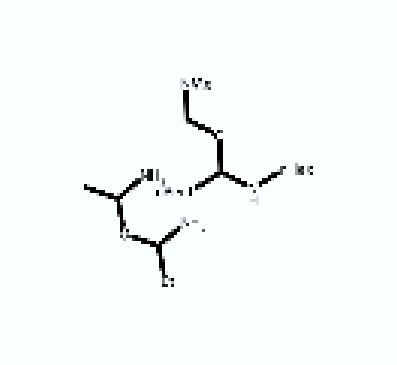 CCC(N)OC(C)N.CCCCCCNC(CCCCC)OCNC